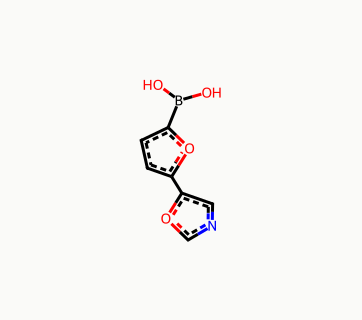 OB(O)c1ccc(-c2cnco2)o1